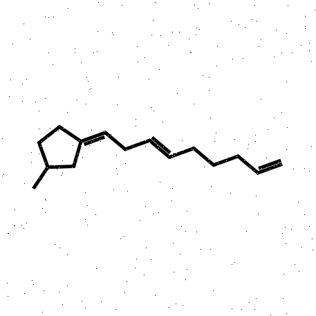 C=CCCCC=CCC=C1CCC(C)C1